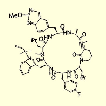 C=CC(C)(C)n1cc(C[C@@H]2NC(=O)[C@H](Cc3ccc(F)cc3)NC(=O)[C@H](CC(C)C)N3CCC[C@@H](C3=O)N(C)C(=O)[C@H](C)NC(=O)[C@H](Cc3ccc4nc(OC)ncc4c3)NC(=O)[C@H](CC(C)C)N(C)C2=O)c2ccccc21